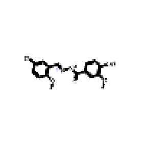 COc1cc(C(=O)N/N=C/c2cc(Cl)ccc2OC)ccc1O